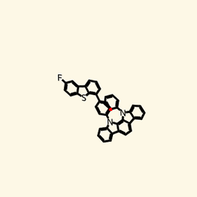 Fc1ccc2sc3c(-c4ccc(-n5c6ccccc6c6ccc7c8ccccc8n(-c8ccccc8)c7c65)cc4)cccc3c2c1